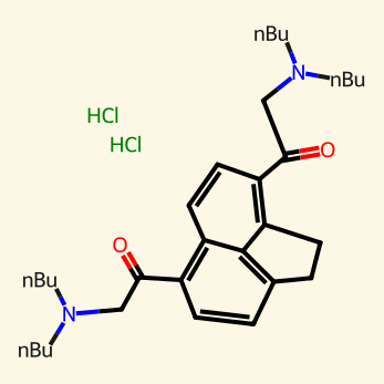 CCCCN(CCCC)CC(=O)c1ccc2c(C(=O)CN(CCCC)CCCC)ccc3c2c1CC3.Cl.Cl